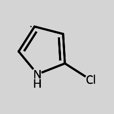 Clc1c[c]c[nH]1